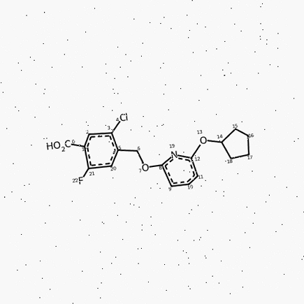 O=C(O)c1cc(Cl)c(COc2cccc(OC3CCCC3)n2)cc1F